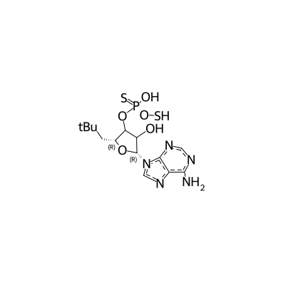 CC(C)(C)C[C@H]1O[C@@H](n2cnc3c(N)ncnc32)C(O)C1OP(O)(=S)OS